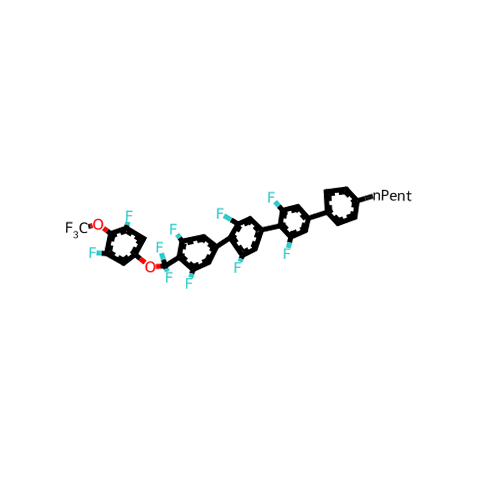 CCCCCc1ccc(-c2cc(F)c(-c3cc(F)c(-c4cc(F)c(C(F)(F)Oc5cc(F)c(OC(F)(F)F)c(F)c5)c(F)c4)c(F)c3)c(F)c2)cc1